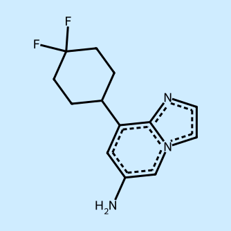 Nc1cc(C2CCC(F)(F)CC2)c2nccn2c1